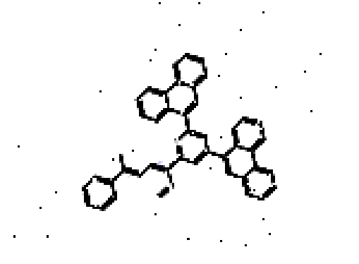 C=N/C(=C\C=C(/C)c1ccccc1)c1cc(-c2cc3ccccc3c3ccccc23)cc(-c2cc3ccccc3c3ccccc23)n1